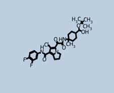 CC1(NC(=O)C(=O)c2c(Cl)c(C(=O)Nc3ccc(F)c(F)c3)c3n2CCC3)CCC(C(O)OC(C)(C)C)CC1